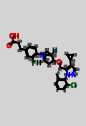 Cc1cccc(Cl)c1-n1ncc(C2CC2)c1CO[C@H]1C[C@@H]2C[C@H]1CN2c1ccc(CCC(=O)O)cc1F